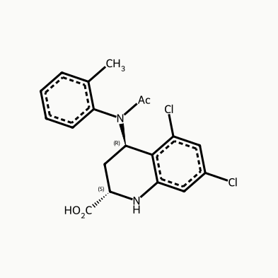 CC(=O)N(c1ccccc1C)[C@@H]1C[C@@H](C(=O)O)Nc2cc(Cl)cc(Cl)c21